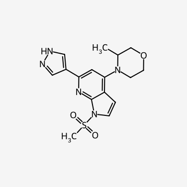 CC1COCCN1c1cc(-c2cn[nH]c2)nc2c1ccn2S(C)(=O)=O